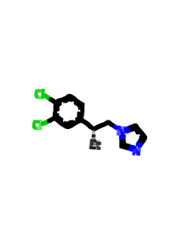 CC[C@@H](Cn1ccnc1)c1ccc(Cl)c(Cl)c1